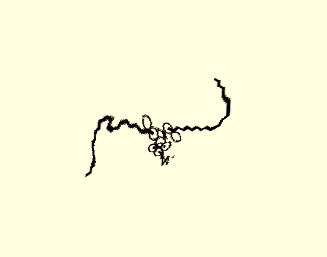 CCCCC/C=C\C/C=C\CCCCCCCC(=O)O[C@H](COC(=O)CCC/C=C\C/C=C\C/C=C\CCCCCCCC)COP(=O)([O-])OCC[N+](C)(C)C